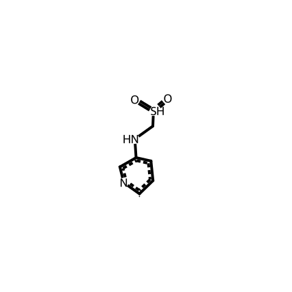 O=[SH](=O)CNc1cc[c]nc1